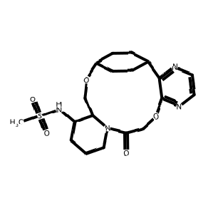 CS(=O)(=O)NC1CCCN2C(=O)COc3nccnc3C3CCC(CC3)OCC12